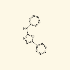 [c]1ccccc1-c1nnc(Nc2ccccc2)o1